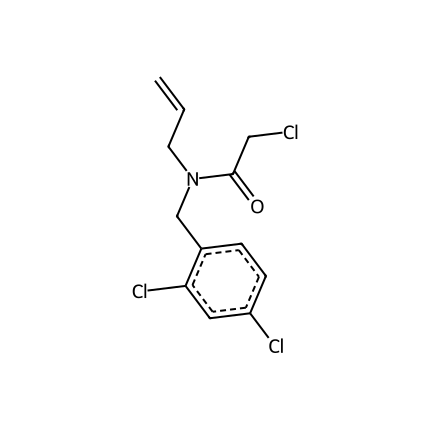 C=CCN(Cc1ccc(Cl)cc1Cl)C(=O)CCl